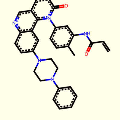 C=CC(=O)Nc1cc(-n2c(=O)ccc3cnc4ccc(N5CCN(c6ccccc6)CC5)cc4c32)ccc1C